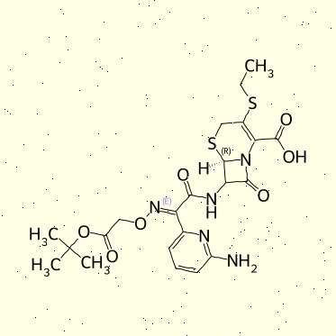 CCSC1=C(C(=O)O)N2C(=O)C(NC(=O)/C(=N/OCC(=O)OC(C)(C)C)c3cccc(N)n3)[C@H]2SC1